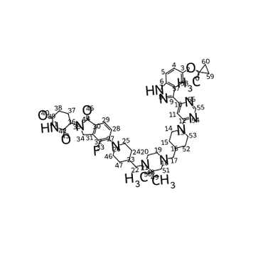 CC1(Oc2ccc3[nH]nc(-c4cc(N5CCC(CN6CCN(CC7CCN(c8ccc9c(c8F)CN(C8CCC(=O)NC8=O)C9=O)CC7)C(C)(C)C6)CC5)ncn4)c3c2)CC1